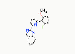 COc1cccc(F)c1-c1cccc(-c2ncc3ccccc3n2)n1